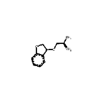 C=C(C)COC1COc2ccccc21